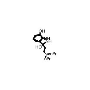 CCCN(CCC)CCC1(O)NNc2c(O)cccc21